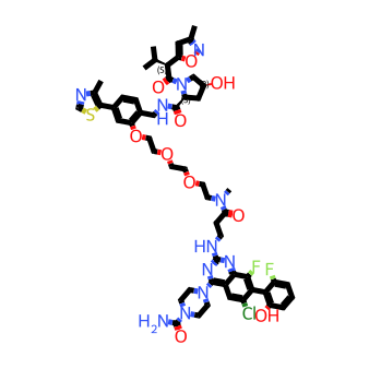 Cc1cc([C@@H](C(=O)N2C[C@H](O)C[C@H]2C(=O)NCc2ccc(-c3scnc3C)cc2OCCOCCOCCN(C)C(=O)CCNc2nc(N3CCN(C(N)=O)CC3)c3cc(Cl)c(-c4c(O)cccc4F)c(F)c3n2)C(C)C)on1